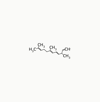 [CH]=CC(C)/C=C/C=C(\C)CCC=C(C)C